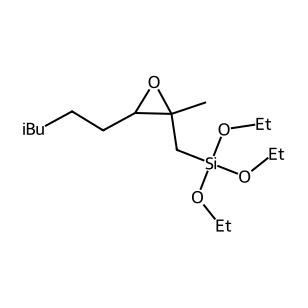 CCO[Si](CC1(C)OC1CCC(C)CC)(OCC)OCC